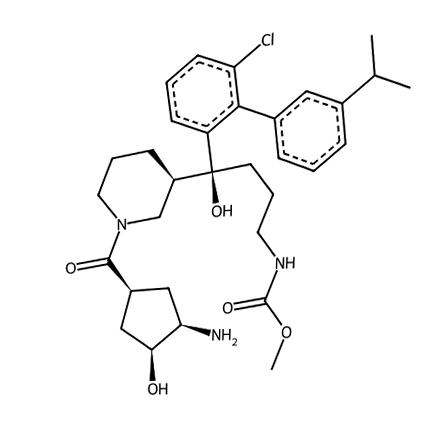 COC(=O)NCCC[C@@](O)(c1cccc(Cl)c1-c1cccc(C(C)C)c1)[C@@H]1CCCN(C(=O)[C@H]2C[C@@H](N)[C@@H](O)C2)C1